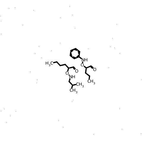 CCCC(C=O)ONc1ccccc1.CCCCC(C=O)ONCC(C)C